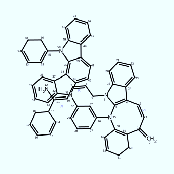 C=C1/C=C\c2c(n(C/C=C\C=C(/N)C3C=CC=CC3)c3ccccc23)N(c2cccc(-n3c4ccccc4c4c5c(ccc43)c3ccccc3n5C3=CC=CCC3)c2)C2=C1CCC=C2